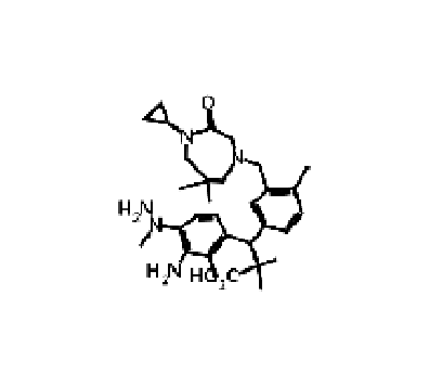 Cc1ccc(C(c2ccc(N(C)N)c(N)c2C)C(C)(C)C(=O)O)cc1CN1CC(=O)N(C2CC2)CC(C)(C)C1